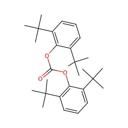 CC(C)(C)c1cccc(C(C)(C)C)c1OC(=O)Oc1c(C(C)(C)C)cccc1C(C)(C)C